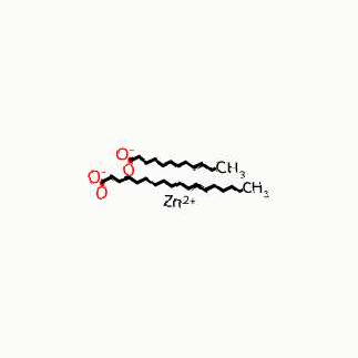 CCCCCCCCCCCC(=O)[O-].CCCCCCCCCCCCCCCCCC(=O)[O-].[Zn+2]